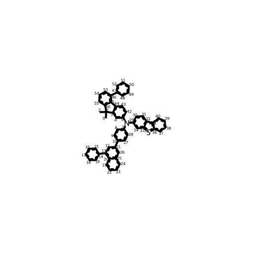 CC1(C)c2cc(N(c3ccc(-c4cc(-c5ccccc5)c5ccccc5c4)cc3)c3ccc4c(c3)sc3ccccc34)ccc2-c2c(-c3ccccc3)cccc21